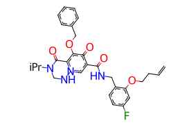 C=CCCOc1cc(F)ccc1CNC(=O)c1cn2c(c(OCc3ccccc3)c1=O)C(=O)N(C(C)C)CN2